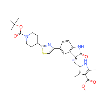 COC(=O)c1c(C)[nH]c(/C=C2\C(=O)Nc3ccc(-c4csc(C5CCN(C(=O)OC(C)(C)C)CC5)n4)cc32)c1C